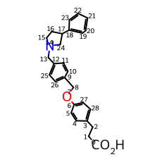 O=C(O)CCc1ccc(OCc2ccc(CN3CCC(c4ccccc4)C3)cc2)cc1